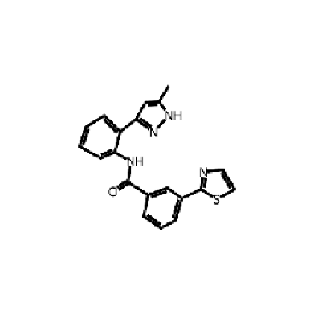 Cc1cc(-c2ccccc2NC(=O)c2cccc(-c3nccs3)c2)n[nH]1